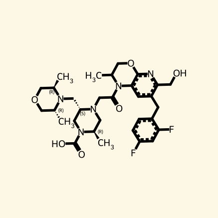 CC1COc2nc(CO)c(Cc3ccc(F)cc3F)cc2N1C(=O)CN1C[C@@H](C)N(C(=O)O)C[C@@H]1CN1[C@H](C)COC[C@H]1C